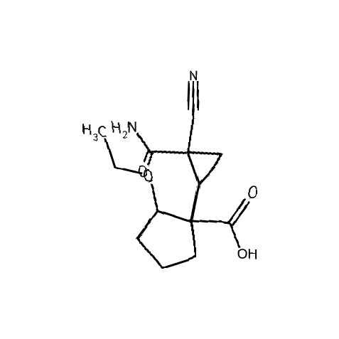 CCOC1CCCC1(C(=O)O)C1CC1(C#N)C(N)=O